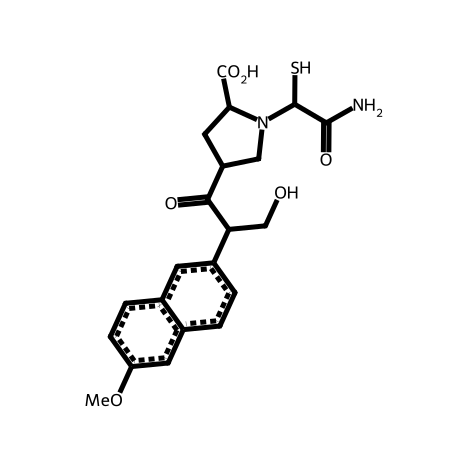 COc1ccc2cc(C(CO)C(=O)C3CC(C(=O)O)N(C(S)C(N)=O)C3)ccc2c1